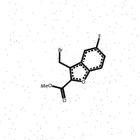 COC(=O)c1oc2ccc(F)cc2c1CBr